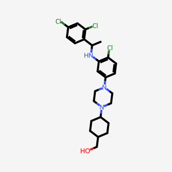 CC(Nc1cc(N2CCN(C3CCC(CO)CC3)CC2)ccc1Cl)c1ccc(Cl)cc1Cl